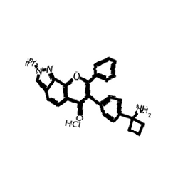 CC(C)n1cc2ccc3c(=O)c(-c4ccc(C5(N)CCC5)cc4)c(-c4ccccc4)oc3c2n1.Cl